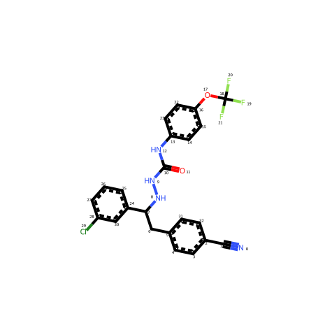 N#Cc1ccc(CC(NNC(=O)Nc2ccc(OC(F)(F)F)cc2)c2cccc(Cl)c2)cc1